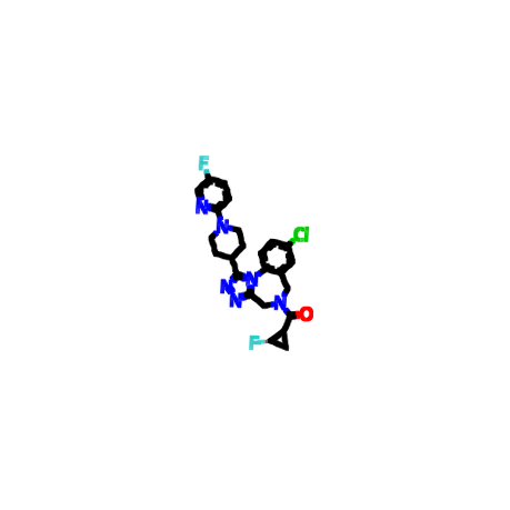 O=C(C1C[C@@H]1F)N1Cc2cc(Cl)ccc2-n2c(nnc2C2CCN(c3ccc(F)cn3)CC2)C1